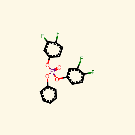 O=P(Oc1ccccc1)(Oc1ccc(F)c(F)c1)Oc1ccc(F)c(F)c1